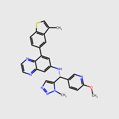 COc1ccc([C@@H](Nc2cc(-c3ccc4scc(C)c4c3)c3nccnc3c2)c2cnnn2C)cn1